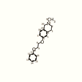 CN1CCc2cc(OCCOc3ccccc3)ccc2C1